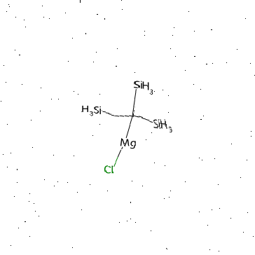 [SiH3][C]([SiH3])([SiH3])[Mg][Cl]